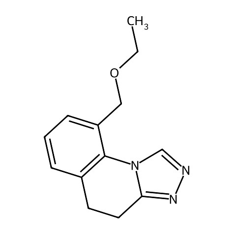 CCOCc1cccc2c1-n1cnnc1CC2